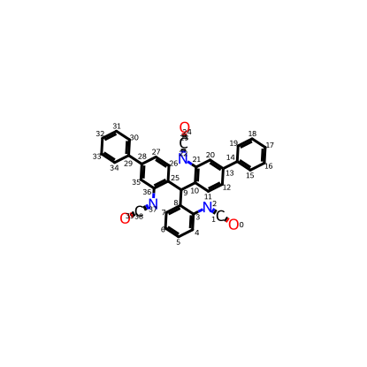 O=C=Nc1ccccc1C(c1ccc(-c2ccccc2)cc1N=C=O)c1ccc(-c2ccccc2)cc1N=C=O